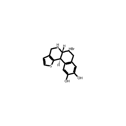 Br.Oc1cc2c(cc1O)[C@H]1c3sccc3CN[C@@H]1CC2